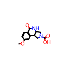 COc1ccc2c(c1)C1CN(C(=O)O)CC1NC2=O